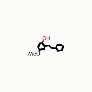 COc1ccc(O)c(CCc2ccccc2)c1